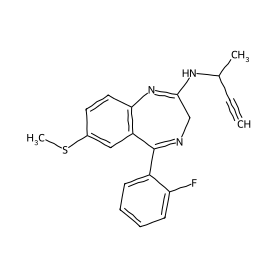 C#CC(C)NC1=Nc2ccc(SC)cc2C(c2ccccc2F)=NC1